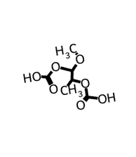 COC(OC(=O)O)C(C)OC(=O)O